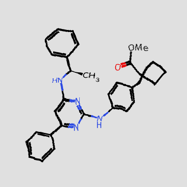 COC(=O)C1(c2ccc(Nc3nc(N[C@H](C)c4ccccc4)cc(-c4ccccc4)n3)cc2)CCC1